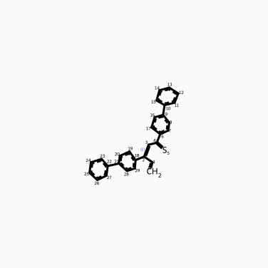 C=C/C(=C\C(=S)c1ccc(-c2ccccc2)cc1)c1ccc(-c2ccccc2)cc1